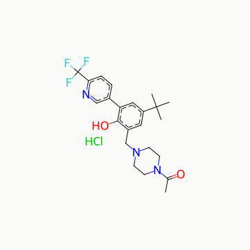 CC(=O)N1CCN(Cc2cc(C(C)(C)C)cc(-c3ccc(C(F)(F)F)nc3)c2O)CC1.Cl